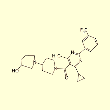 Cc1nc(-c2cccc(C(F)(F)F)c2)nc(C2CC2)c1C(=O)N1CCC(N2CCCC(O)C2)CC1